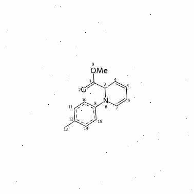 COC(=O)C1C=CC=CN1c1ccc(C)cc1